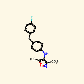 Cc1onc(C(=O)O)c1Nc1ccc(Cc2ccc(F)cc2)cc1